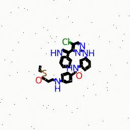 CCSC(=O)CCNc1ccc(C(=O)Nc2cccc(Nc3ncc(Cl)c(-c4c[nH]c5ccccc45)n3)c2)cc1